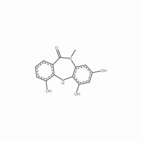 CN1C(=O)c2cccc(O)c2Nc2c(O)cc(O)cc21